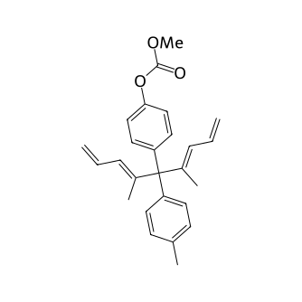 C=C/C=C(\C)C(/C(C)=C/C=C)(c1ccc(C)cc1)c1ccc(OC(=O)OC)cc1